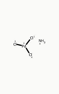 N.[Cl][Pd]([Cl])[Cl]